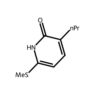 CCCc1ccc(SC)[nH]c1=O